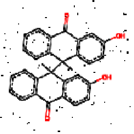 CC1(C2(C)c3ccccc3C(=O)c3ccc(O)cc32)c2ccccc2C(=O)c2cc(O)ccc21